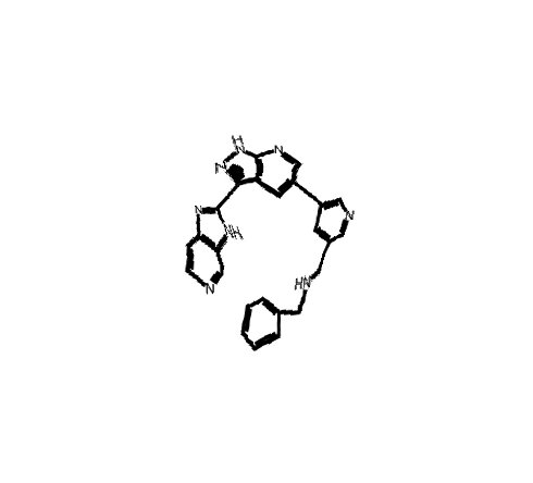 c1ccc(CNCc2cncc(-c3cnc4[nH]nc(-c5nc6ccncc6[nH]5)c4c3)c2)cc1